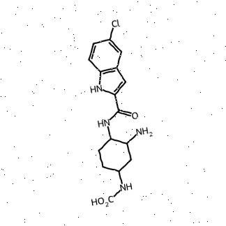 NC1CC(NC(=O)O)CCC1NC(=O)c1cc2cc(Cl)ccc2[nH]1